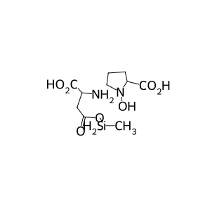 C[SiH2]OC(=O)CC(N)C(=O)O.O=C(O)C1CCCN1O